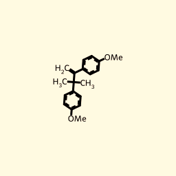 C=C(c1ccc(OC)cc1)C(C)(C)c1ccc(OC)cc1